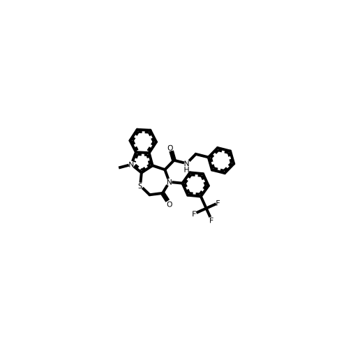 Cn1c2c(c3ccccc31)C(C(=O)NCc1ccccc1)N(c1cccc(C(F)(F)F)c1)C(=O)CS2